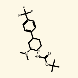 CN(C)[C@H]1CC(c2ccc(C(F)(F)F)cc2)CC[C@@H]1NC(=O)OC(C)(C)C